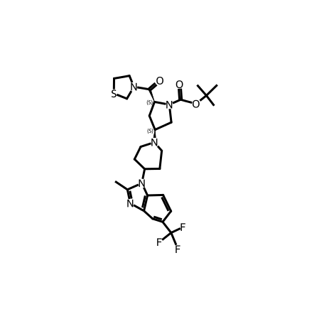 Cc1nc2cc(C(F)(F)F)ccc2n1C1CCN([C@H]2C[C@@H](C(=O)N3CCSC3)N(C(=O)OC(C)(C)C)C2)CC1